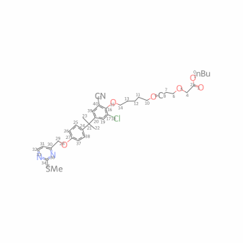 CCCCOC(=O)COCCCOCCCCCOc1c(Cl)cc(C(C)(C)c2ccc(OCc3ccnc(SC)n3)cc2)cc1C#N